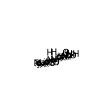 O=C1CCC(N2C=C3CC=C(C(=O)NC(=O)Nc4ccc(Cc5ccncc5)cc4)C=C3C2)C(=O)N1